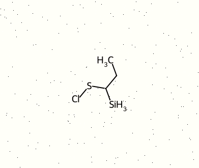 CCC([SiH3])SCl